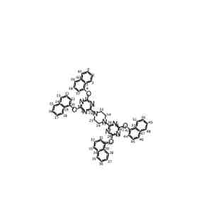 c1ccc2c(Oc3nc(Oc4cccc5ccccc45)nc(N4CCN(c5nc(Oc6cccc7ccccc67)nc(Oc6cccc7ccccc67)n5)CC4)n3)cccc2c1